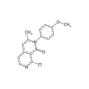 COc1ccc(-n2c(C)cc3ccnc(Cl)c3c2=O)cc1